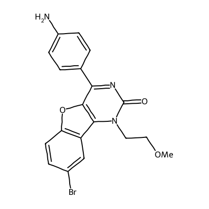 COCCn1c(=O)nc(-c2ccc(N)cc2)c2oc3ccc(Br)cc3c21